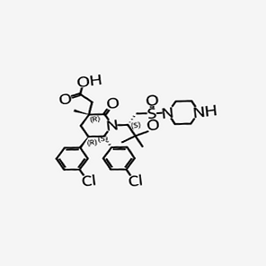 CC(C)(C)[C@@H](CS(=O)(=O)N1CCNCC1)N1C(=O)[C@@](C)(CC(=O)O)C[C@H](c2cccc(Cl)c2)[C@H]1c1ccc(Cl)cc1